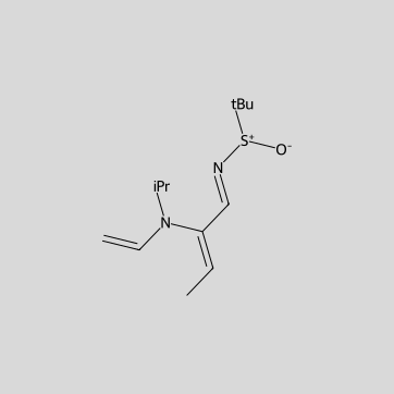 C=CN(C(=C\C)/C=N/[S+]([O-])C(C)(C)C)C(C)C